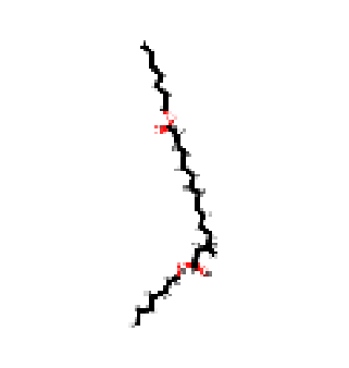 CCCCCCCOC(=O)CCCCCCCCCCCC(C)CC(=O)OCCCCCCC